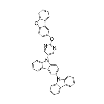 c1ccc2c(c1)oc1ccc(Oc3ncc(-n4c5ccccc5c5cc(-n6c7ccccc7c7ccccc76)ccc54)cn3)cc12